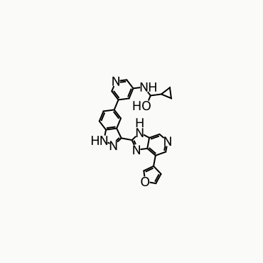 OC(Nc1cncc(-c2ccc3[nH]nc(-c4nc5c(-c6ccoc6)cncc5[nH]4)c3c2)c1)C1CC1